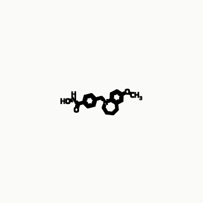 COc1ccc2c(c1)CCCCN2Cc1ccc(C(=O)NO)cc1